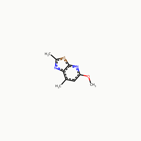 COc1cc(C)c2nc(C)sc2n1